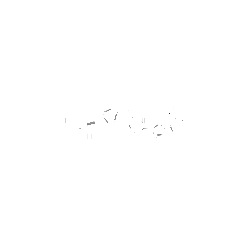 CN1C(=O)[C@@H](NC(=O)c2cn3c(C4(C(F)(F)F)CC4)csc3n2)COc2ccc(C#CC(C)(C)O)cc21